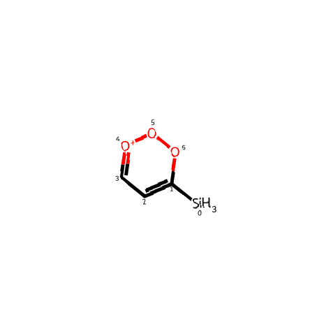 [SiH3]C1=CC=[O+]OO1